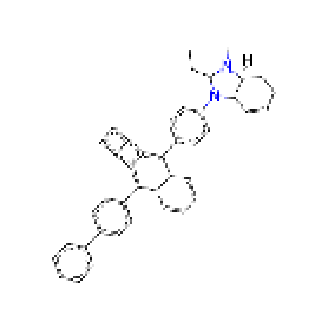 CCC1N(c2ccc(C3=c4c5ccc-5c4=C(c4ccc(-c5ccccc5)cc4)C4C=CC=CC34)cc2)C2C=CCC[C@@H]2N1C